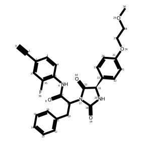 C#Cc1ccc(NC(=O)C(Cc2ccccc2)N2C(=O)N[C@H](c3ccc(OCCOC)cc3)C2=O)c(F)c1